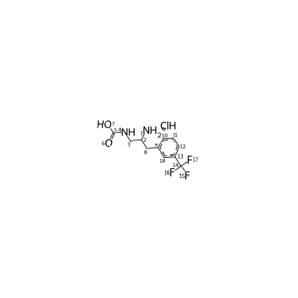 Cl.NC(CNC(=O)O)Cc1cccc(C(F)(F)F)c1